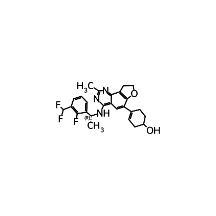 Cc1nc(N[C@H](C)c2cccc(C(F)F)c2F)c2cc(C3=CCC(O)CC3)c3c(c2n1)CCO3